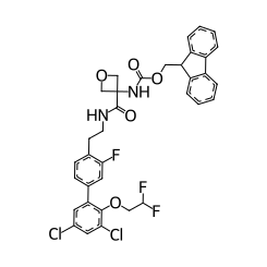 O=C(NC1(C(=O)NCCc2ccc(-c3cc(Cl)cc(Cl)c3OCC(F)F)cc2F)COC1)OCC1c2ccccc2-c2ccccc21